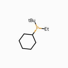 CCP(C1CCCCC1)C(C)(C)C